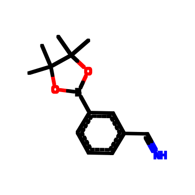 CC1(C)OB(c2cccc(C=N)c2)OC1(C)C